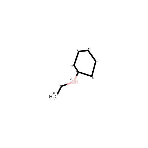 CCBC1CCCCC1